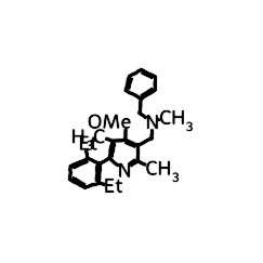 CCc1cccc(CC)c1-c1nc(C)c(CN(C)Cc2ccccc2)c(OC)c1C